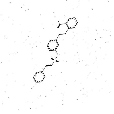 O=C(O)c1ccccc1CCc1cccc(NS(=O)(=O)C=Cc2ccccc2)c1